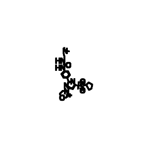 C[C@H]1COCCN1c1cc(C(C)(C)S(=O)(=O)C2CCCC2)nc(-c2ccc(NC(=O)NCCN(C)C)cc2)n1